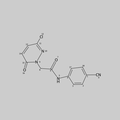 N#Cc1ccc(NC(=O)Cn2nc(Cl)ccc2=O)cc1